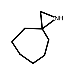 C1CCCC2(CC1)CN2